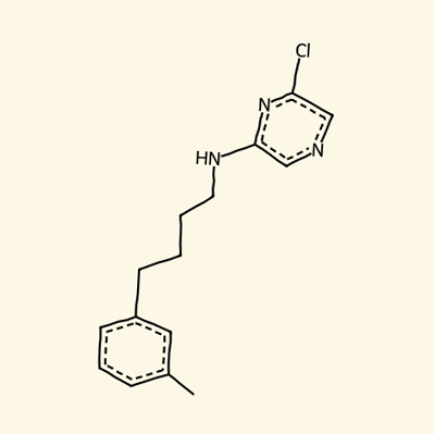 Cc1cccc(CCCCNc2cncc(Cl)n2)c1